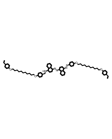 C=Cc1ccc(OCCCCCCCCCCCOc2ccc(CNc3ccc(/N=N/c4ccc(/N=N/c5ccc(OCCCCCCCCCCCOc6ccc(C=C)cc6)cc5)c5ccccc45)c4ccccc34)cc2)cc1